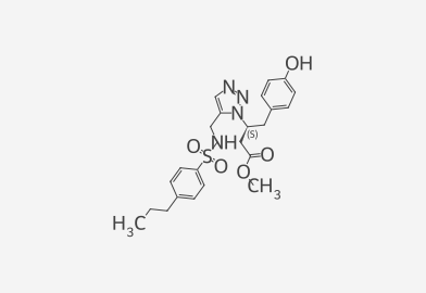 CCCc1ccc(S(=O)(=O)NCc2cnnn2[C@H](CC(=O)OC)Cc2ccc(O)cc2)cc1